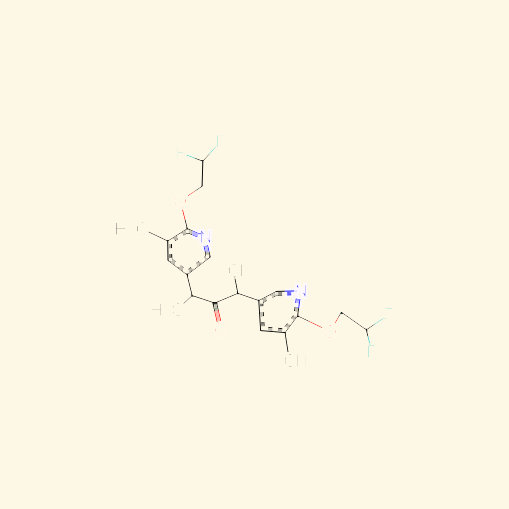 Cc1cc(C(C)C(=O)C(C)c2cnc(OCC(F)F)c(C)c2)cnc1OCC(F)F